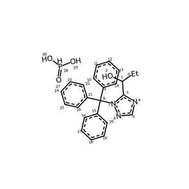 CCC(O)c1ncnn1C(c1ccccc1)(c1ccccc1)c1ccccc1.O=[PH](O)O